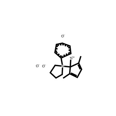 CC1=CC=C(C)[C]1([Ti+3])[Si]1(c2ccccc2)CCCC1.[Cl-].[Cl-].[Cl-]